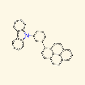 c1cc(-c2ccc3ccc4cccc5ccc2c3c45)cc(-n2c3ccccc3c3ccccc32)c1